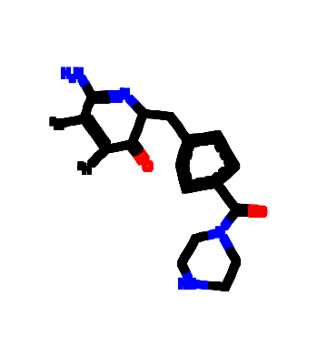 [2H]C1=C([2H])C(N)=NC(Cc2ccc(C(=O)N3CCNCC3)cc2)C1=O